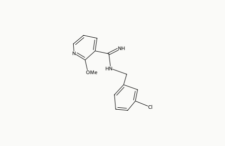 COc1ncccc1C(=N)NCc1cccc(Cl)c1